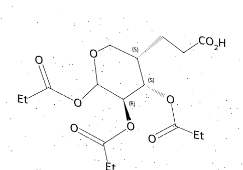 CCC(=O)OC1OC[C@H](CCC(=O)O)[C@H](OC(=O)CC)[C@H]1OC(=O)CC